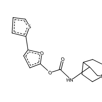 O=C(NC1CN2CCC1CC2)Oc1ccc(-c2cccs2)o1